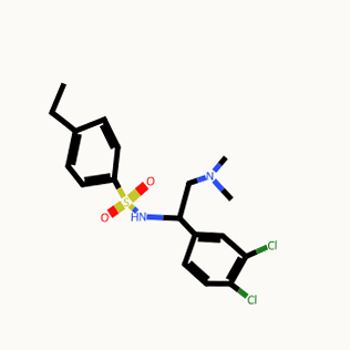 CCc1ccc(S(=O)(=O)NC(CN(C)C)c2ccc(Cl)c(Cl)c2)cc1